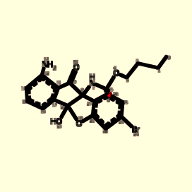 CCCCOC(=O)NC12C(=O)c3c(N)cccc3C1(O)Oc1cc(Br)ccc12